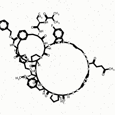 CC[C@@H](NC(=O)C(C)C)C(=O)N[C@H]1Cc2cccc(c2)CNC(=O)CO[C@H]2CCN3C(=O)[C@H](Cc4cn(c5ccc(F)cc45)C/C=C/CCCN(C(=O)CCC(C)=O)Cc4ccc(cc4)CCNC(=O)[C@]4(C)CCCN4C(=O)[C@H](Cc4ccc(OC)cc4)NC(=O)[C@H]([C@@H](C)OCc4cn(CCNC(=O)OCc5ccccc5)nn4)NC(=O)[C@H]23)NC1=O